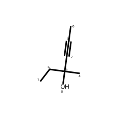 CC#CC(C)(O)CC